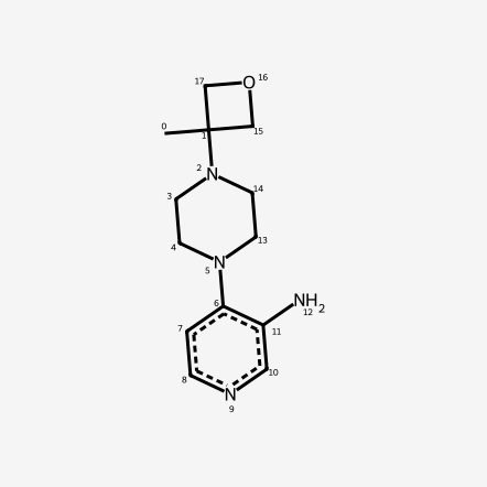 CC1(N2CCN(c3ccncc3N)CC2)COC1